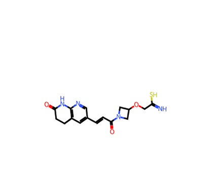 N=C(S)COC1CN(C(=O)/C=C/c2cnc3c(c2)CCC(=O)N3)C1